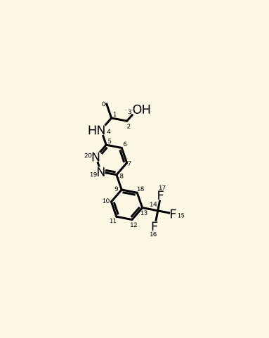 CC(CO)Nc1ccc(-c2cccc(C(F)(F)F)c2)nn1